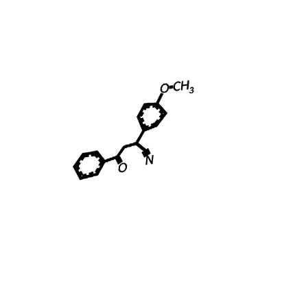 COc1ccc(C(C#N)CC(=O)c2ccccc2)cc1